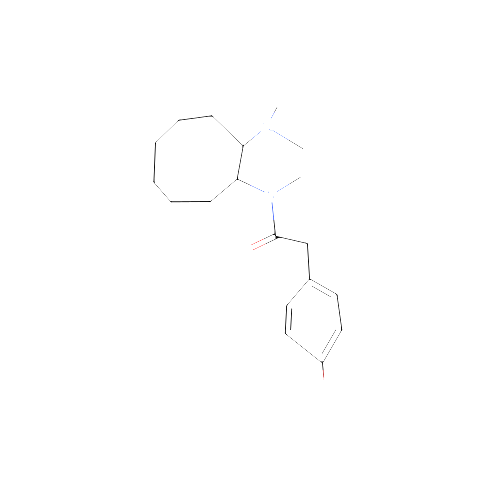 CN(C)C1CCCCCCC1N(C)C(=O)Cc1ccc(Br)cc1